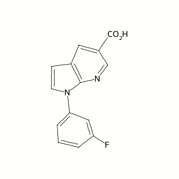 O=C(O)c1cnc2c(ccn2-c2cccc(F)c2)c1